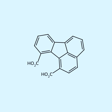 O=C(O)c1cccc2c1-c1c(C(=O)O)ccc3cccc-2c13